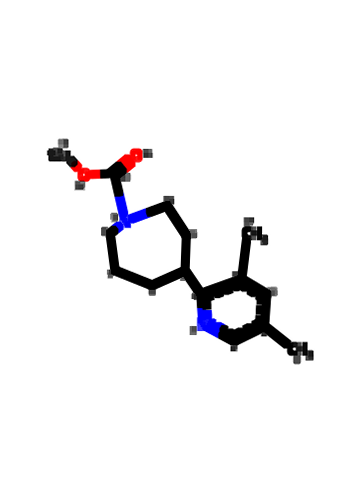 Cc1cnc(C2CCCN(C(=O)OC(C)(C)C)CC2)c(C)c1